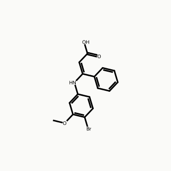 COc1cc(N/C(=C/C(=O)O)c2ccccc2)ccc1Br